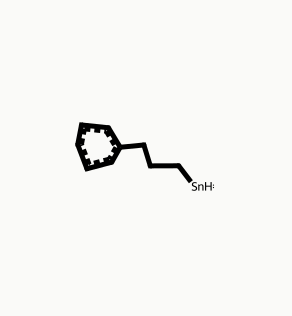 [SnH][CH2]CCc1ccccc1